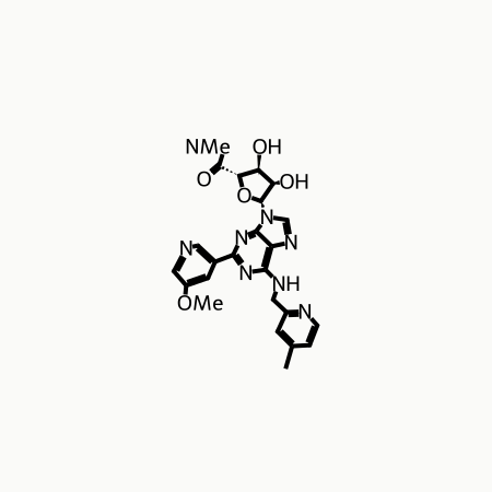 CNC(=O)[C@H]1O[C@@H](n2cnc3c(NCc4cc(C)ccn4)nc(-c4cncc(OC)c4)nc32)[C@H](O)[C@@H]1O